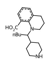 CCCCC(C1CCNCC1)N1CCCc2cccc(C(=O)O)c21